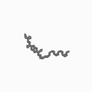 CC/C=C\C/C=C\C/C=C\C/C=C\C/C=C\C/C=C\CCC(=O)N1CC2CN(C(=O)C=CC(=O)OC)CC2C1